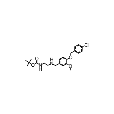 COc1cc(CNCCNC(=O)OC(C)(C)C)ccc1OCc1ccc(Cl)cc1